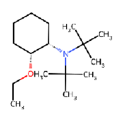 CCO[C@@H]1CCCC[C@@H]1N(C(C)(C)C)C(C)(C)C